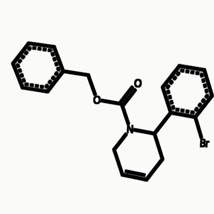 O=C(OCc1ccccc1)N1CC=CCC1c1ccccc1Br